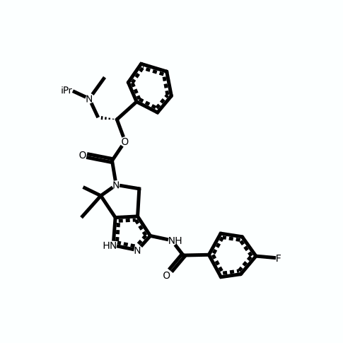 CC(C)N(C)C[C@@H](OC(=O)N1Cc2c(NC(=O)c3ccc(F)cc3)n[nH]c2C1(C)C)c1ccccc1